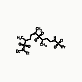 CCN(CC)S(=O)(=O)C(C)CCN(C)S(=O)(=O)C(C)CCNS(=O)(=O)C(C)C